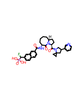 O=C(N[C@H]1CCCC[C@H]2CC[C@@H](C(=O)N3CC(c4cccnc4)CC34CC4)N2C1=O)c1ccc2ccc(C(F)P(=O)(O)O)cc2c1